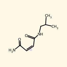 CC(C)CNC(=O)/C=C\C(N)=O